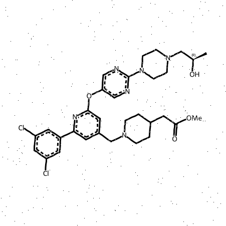 COC(=O)CC1CCN(Cc2cc(Oc3cnc(N4CCN(C[C@@H](C)O)CC4)nc3)nc(-c3cc(Cl)cc(Cl)c3)c2)CC1